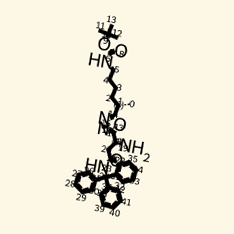 C[C@@H](CCCCNC(=O)OC(C)(C)C)c1nnc([C@@H](N)CC(=O)NC(c2ccccc2)(c2ccccc2)c2ccccc2)o1